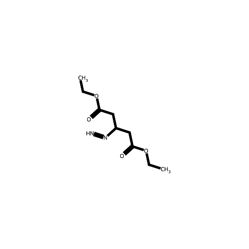 CCOC(=O)CC(CC(=O)OCC)N=N